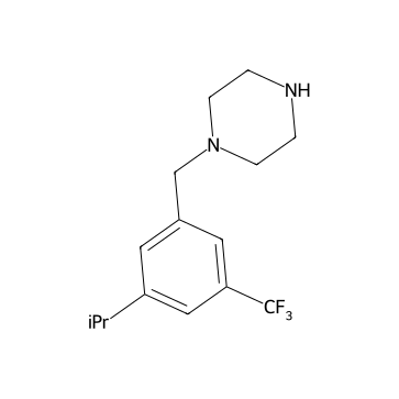 CC(C)c1cc(CN2CCNCC2)cc(C(F)(F)F)c1